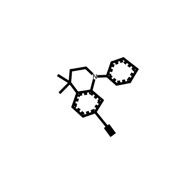 C#Cc1ccc2c(c1)N(c1ccccc1)CCC2(C)C